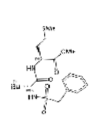 CC[C@@H](C)[C@@H](NS(=O)(=O)Cc1ccccc1)C(=O)N[C@@H](CCSC)C(=O)OC